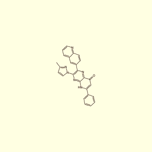 Cc1ccn(-c2nc3[nH]c(-c4ccccc4)cc(=O)c3nc2-c2ccc3ncccc3c2)n1